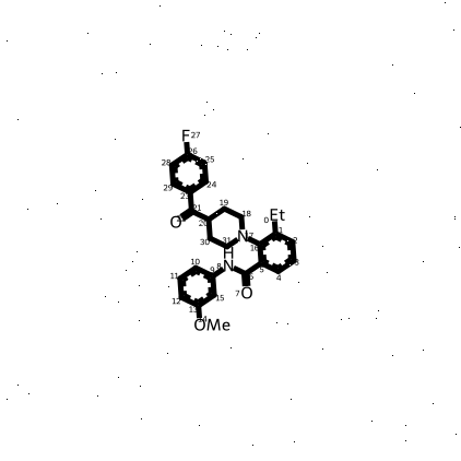 CCc1cccc(C(=O)Nc2cccc(OC)c2)c1N1CCC(C(=O)c2ccc(F)cc2)CC1